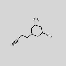 CC1CC(C)CN(CCC#N)C1